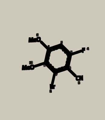 COc1cc(F)c(C#N)c(Br)c1OC